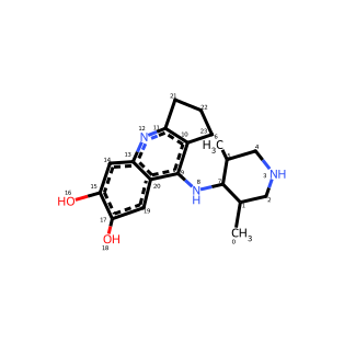 CC1CNCC(C)C1Nc1c2c(nc3cc(O)c(O)cc13)CCC2